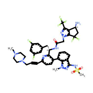 CN1CCN(CC#Cc2ccc(-c3cccc4c(NS(C)(=O)=O)nn(C)c34)c([C@H](Cc3cc(F)cc(F)c3)NC(=O)Cn3nc(C(F)(F)F)c4c3C(F)(F)C[C@@H]4N)n2)CC1